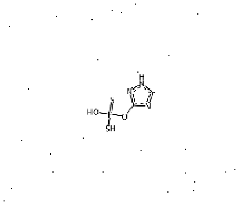 OP(=S)(S)Oc1nc[nH]n1